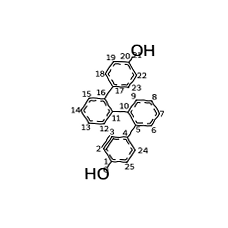 Oc1c#cc(-c2ccccc2-c2ccccc2-c2ccc(O)cc2)cc1